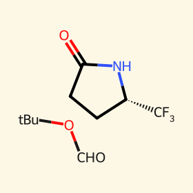 CC(C)(C)OC=O.O=C1CC[C@@H](C(F)(F)F)N1